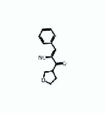 N#C/C(=C\c1ccccc1)C(=O)C1CCOC1